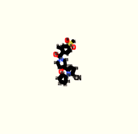 Cc1cc(S(C)(=O)=O)ccc1C(=O)N1CCC2(CC1)Oc1ccccc1-n1c(C#N)ccc12